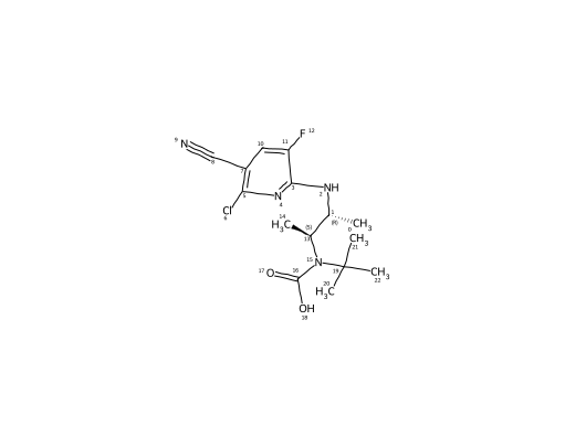 C[C@@H](Nc1nc(Cl)c(C#N)cc1F)[C@H](C)N(C(=O)O)C(C)(C)C